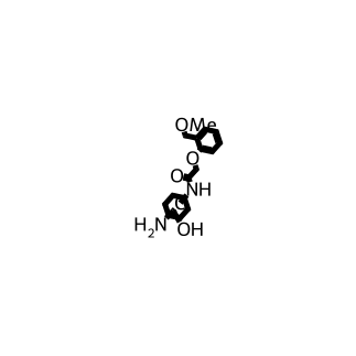 COCc1ccccc1OCC(=O)NC12CCC(N)(CC1)C(O)C2